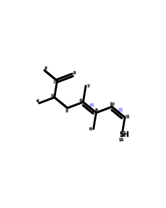 C=C(C)C(C)C/C(C)=C(C)/C=C\S